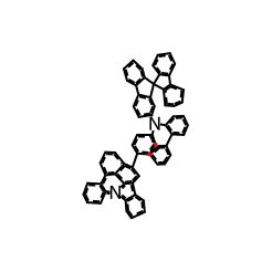 c1ccc(-c2ccccc2N(c2ccc(-c3cc4c5ccccc5n5c6ccccc6c6cccc3c6c45)cc2)c2ccc3c(c2)C2(c4ccccc4-c4ccccc42)c2ccccc2-3)cc1